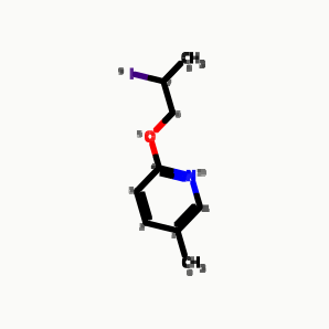 Cc1ccc(OCC(C)I)nc1